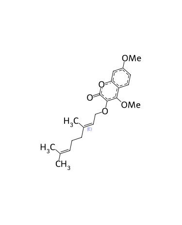 COc1ccc2c(OC)c(OC/C=C(\C)CCC=C(C)C)c(=O)oc2c1